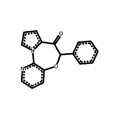 O=C1c2cccn2-c2ncccc2OC1c1ccccc1